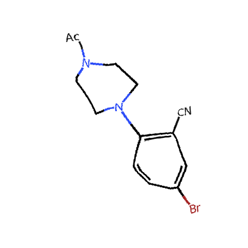 CC(=O)N1CCN(c2ccc(Br)cc2C#N)CC1